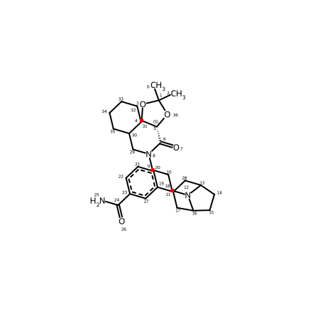 CC1(C)OC[C@@H](C(=O)N(CCCN2C3CCC2CC(c2cccc(C(N)=O)c2)C3)CC2CCCCC2)O1